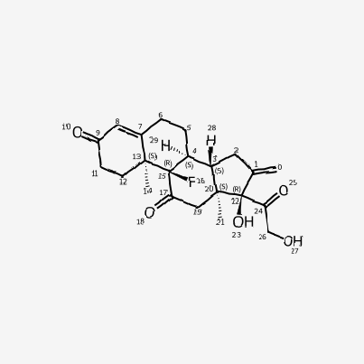 C=C1C[C@H]2[C@@H]3CCC4=CC(=O)CC[C@]4(C)[C@@]3(F)C(=O)C[C@]2(C)[C@@]1(O)C(=O)CO